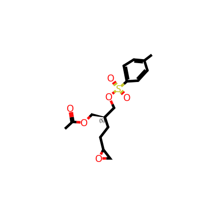 CC(=O)OC[C@H](CCC1CO1)COS(=O)(=O)c1ccc(C)cc1